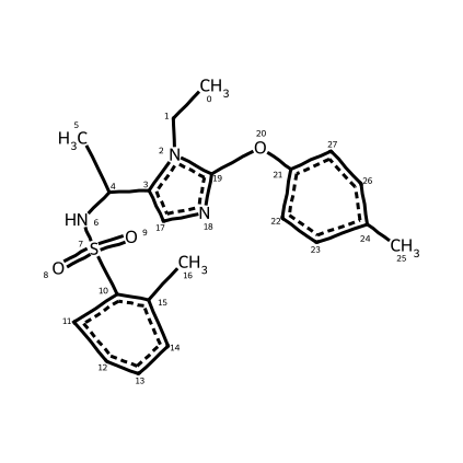 CCn1c(C(C)NS(=O)(=O)c2ccccc2C)cnc1Oc1ccc(C)cc1